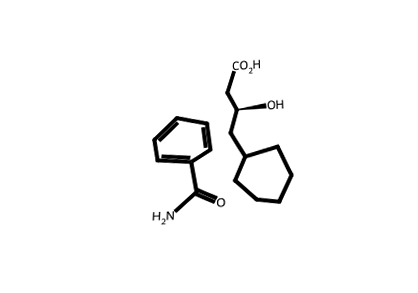 NC(=O)c1ccccc1.O=C(O)C[C@@H](O)CC1CCCCC1